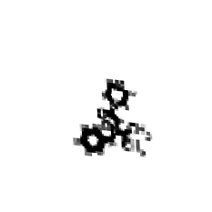 CC(C)[N+]([O-])(CC(=O)N1CCOCC1)Cc1ccccc1